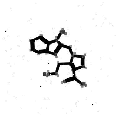 CSCc1c(C(N)=O)nnn1Cc1nc2ccccc2n1C